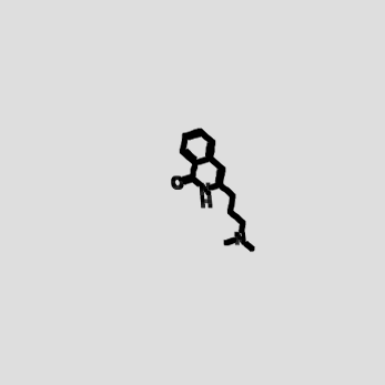 CN(C)CCCc1cc2ccccc2c(=O)[nH]1